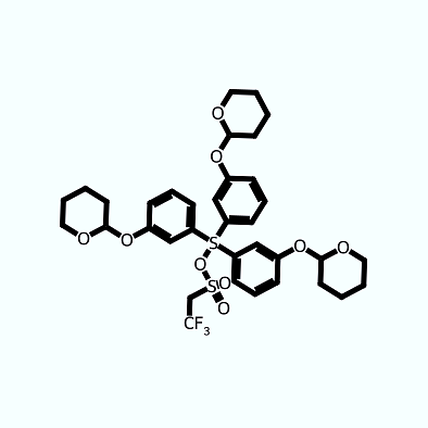 O=S(=O)(CC(F)(F)F)OS(c1cccc(OC2CCCCO2)c1)(c1cccc(OC2CCCCO2)c1)c1cccc(OC2CCCCO2)c1